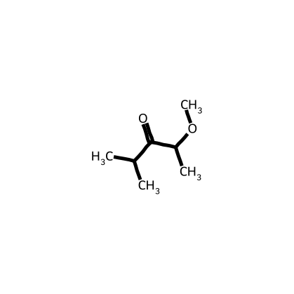 COC(C)C(=O)C(C)C